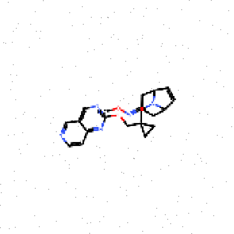 CON=C1CC2C=CC(C1)N2CC1(COc2ncc3cnccc3n2)CC1